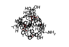 CN[C@H](CC(C)C)C(=O)N[C@H]1C(=O)N[C@@H](CC(N)=O)C(=O)NC2C(=O)NC3C(=O)N[C@H](C(=O)N[C@@H](C(=O)NCCCN)c4cc(O)cc(O)c4-c4cc3ccc4O)[C@H](O)c3ccc(c(Cl)c3)Oc3cc2cc(c3OC2O[C@H](CO)[C@@H](O)[C@@H](O)[C@H]2O[C@H]2C[C@](C)(NCc3cccc(NC(=O)c4ccc(C)c(OCc5ccccc5)c4C)c3)[C@H](O)[C@H](C)O2)Oc2ccc(cc2Cl)[C@H]1O